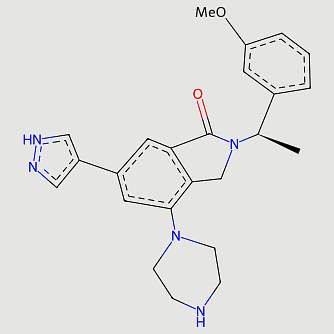 COc1cccc([C@@H](C)N2Cc3c(cc(-c4cn[nH]c4)cc3N3CCNCC3)C2=O)c1